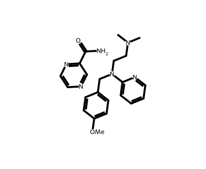 COc1ccc(CN(CCN(C)C)c2ccccn2)cc1.NC(=O)c1cnccn1